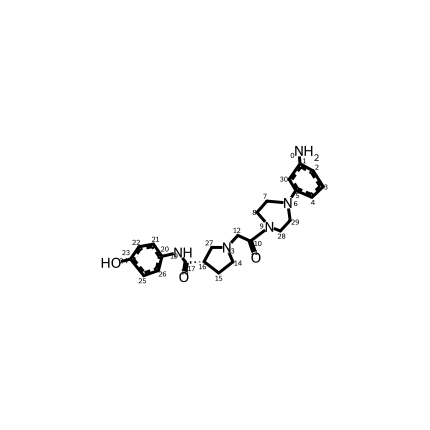 Nc1cccc(N2CCN(C(=O)CN3CC[C@H](C(=O)Nc4ccc(O)cc4)C3)CC2)c1